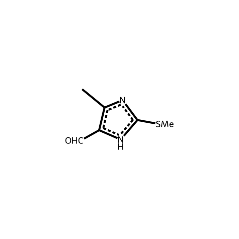 CSc1nc(C)c(C=O)[nH]1